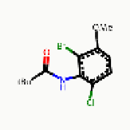 COc1ccc(Cl)c(NC(=O)C(C)(C)C)c1Br